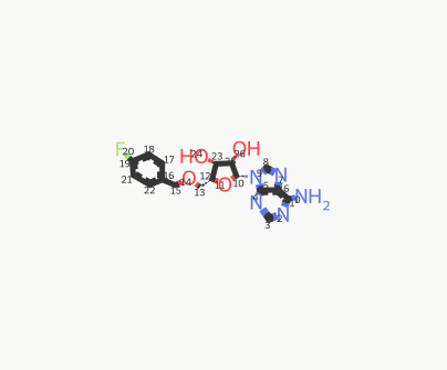 Nc1ncnc2c1ncn2[C@@H]1O[C@H](COCc2ccc(F)cc2)[C@@H](O)[C@H]1O